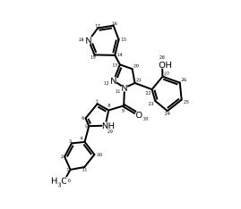 CC1C=CC(c2ccc(C(=O)N3N=C(c4cccnc4)CC3c3ccccc3O)[nH]2)=CC1